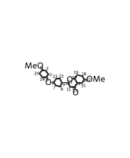 COc1ccc(Oc2ccc(-c3cc(=O)c4cc(OC)ccc4o3)cc2)cc1